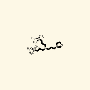 C[Si](C)(C)CCCN(CCCN1C=NCC1)CCC[Si](C)(C)C